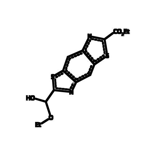 CCOC(=O)c1nc2cc3sc(C(O)OCC)nc3cc2s1